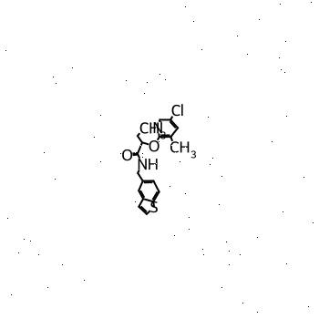 CCC(Oc1ncc(Cl)cc1C)C(=O)NCc1ccc2sccc2c1